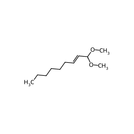 CCCCCCC=C[C](OC)OC